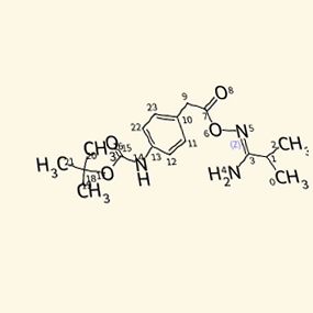 CC(C)/C(N)=N/OC(=O)Cc1ccc(NC(=O)OC(C)(C)C)cc1